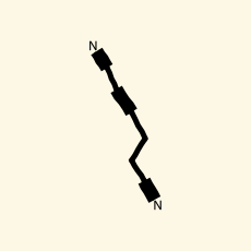 N#CC#CCCC#N